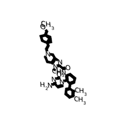 COCC12CCC(CCN3CCc4c(nc(C(=O)Nc5cccc(-c6cccc(C)c6C)c5-n5ccc(N)nc5=O)n4C)C3)(CC1)C2